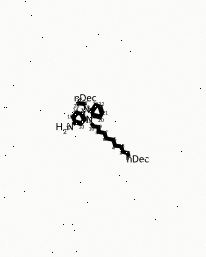 CCCCCCCCCCCCCCCCCCCCN(c1cccc(N)c1)c1ccccc1N(C)CCCCCCCCCCCC